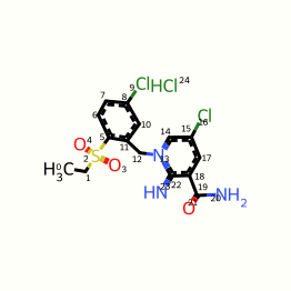 CCS(=O)(=O)c1ccc(Cl)cc1Cn1cc(Cl)cc(C(N)=O)c1=N.Cl